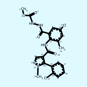 COC(=O)NNC(=O)c1cc(Cl)cc(C)c1NC(=O)c1cnn(C)c1-c1ccccc1Cl